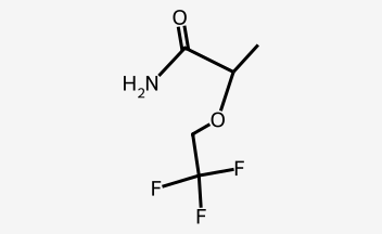 CC(OCC(F)(F)F)C(N)=O